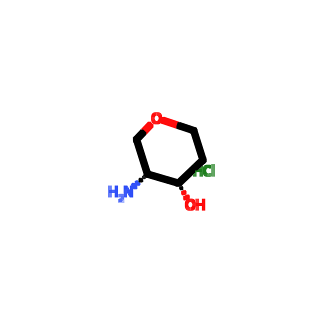 Cl.N[C@@H]1COCC[C@@H]1O